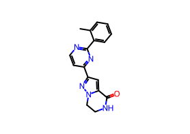 Cc1ccccc1-c1nccc(-c2cc3n(n2)CCNC3=O)n1